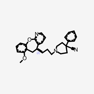 COc1cccc2c1C/C(=C/CCN1CCC(C#N)(c3ccccc3)CC1)c1cccnc1O2